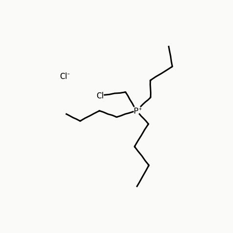 CCCC[P+](CCl)(CCCC)CCCC.[Cl-]